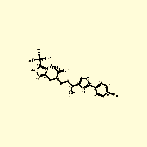 NC(=O)C(CCC(O)c1coc(-c2ccc(F)cc2)n1)Cc1noc(C(F)(F)F)n1